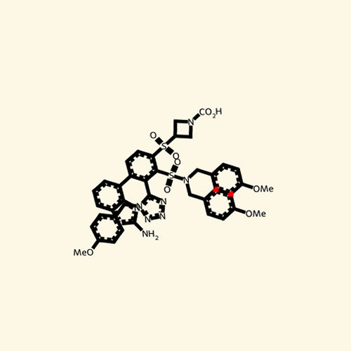 COc1ccc(CN(Cc2ccc(OC)cc2)S(=O)(=O)c2c(S(=O)(=O)C3CN(C(=O)O)C3)ccc(-c3cccc4sc(N)nc34)c2-c2nnnn2Cc2ccc(OC)cc2)cc1